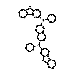 c1ccc(N(c2ccc3cc(N(c4ccccc4)c4ccc5oc6ccccc6c5c4)ccc3c2)c2ccc3c(c2)oc2ccccc23)cc1